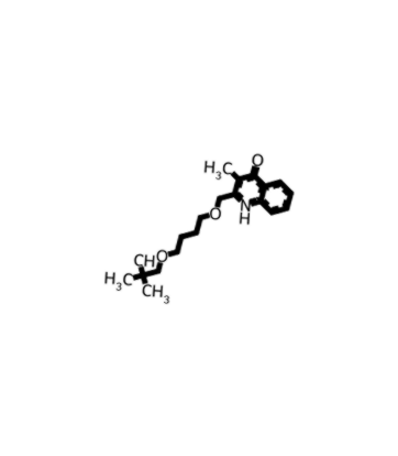 Cc1c(COCCCCOCC(C)(C)C)[nH]c2ccccc2c1=O